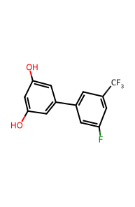 Oc1cc(O)cc(-c2cc(F)cc(C(F)(F)F)c2)c1